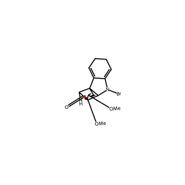 COC1=CNC2C(=O)CC=C3N(Br)C4=CCCC=C4C32C=C1OC